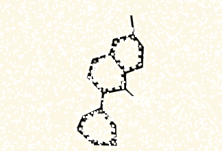 Cc1ccc2c([N+](=O)[O-])c(-c3ccccc3)ccc2c1